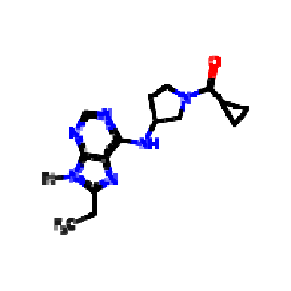 CCn1c(CC(F)(F)F)nc2c(NC3CCN(C(=O)C4CC4)C3)ncnc21